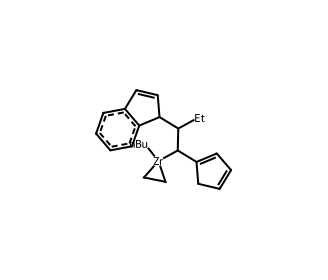 CCC[CH2][Zr]1([CH](C2=CC=CC2)C(CC)C2C=Cc3ccccc32)[CH2][CH2]1